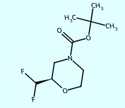 CC(C)(C)OC(=O)N1CCO[C@@H](C(F)F)C1